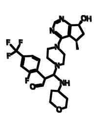 C[C@@H]1C[C@H](O)c2ncnc(N3CCN(C(NC4CCOCC4)C(C=O)c4ccc(C(F)(F)F)cc4F)CC3)c21